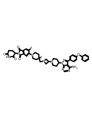 Nc1ncnc2c1c(-c1ccc(Oc3ccccc3)cc1)nn2C1CCN(C2CN(CC3(F)CCN(c4cc5c(cc4F)C(=O)N(C4CCC(=O)NC4=O)C5=O)CC3)C2)CC1